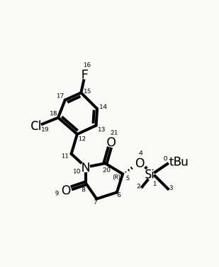 CC(C)(C)[Si](C)(C)O[C@@H]1CCC(=O)N(Cc2ccc(F)cc2Cl)C1=O